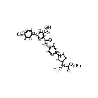 CN(C(=O)OC(C)(C)C)C1CCN(c2ccc(NC(=O)c3nn(-c4ccc(Cl)cc4)cc3CO)cn2)C1